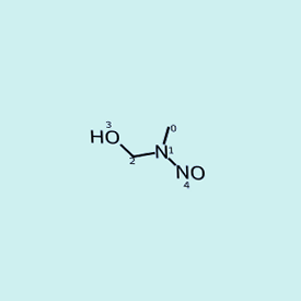 CN(CO)N=O